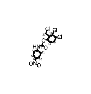 O=C(Nc1ccc([N+](=O)[O-])cc1)Oc1ccc(Cl)c(Cl)c1CCl